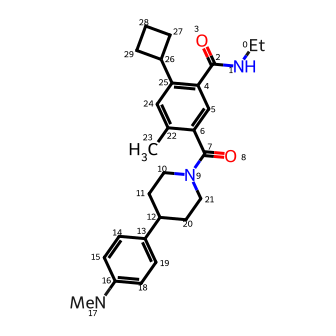 CCNC(=O)c1cc(C(=O)N2CCC(c3ccc(NC)cc3)CC2)c(C)cc1C1CCC1